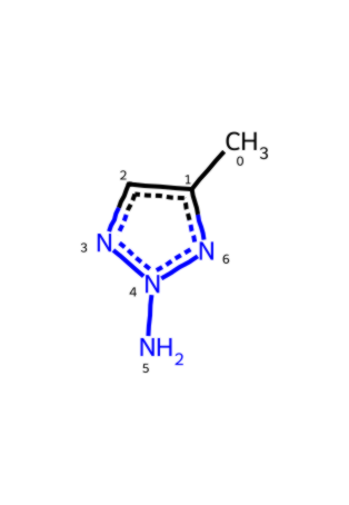 Cc1cnn(N)n1